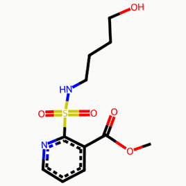 COC(=O)c1cccnc1S(=O)(=O)NCCCCO